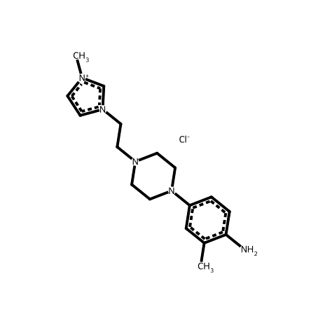 Cc1cc(N2CCN(CCn3cc[n+](C)c3)CC2)ccc1N.[Cl-]